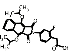 CC(C)Oc1c2c(c(OC(C)C)c3ccccc13)C(=O)N(c1ccc(CC(=O)O)c(F)c1)C2=O